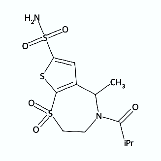 CC(C)C(=O)N1CCS(=O)(=O)c2sc(S(N)(=O)=O)cc2C1C